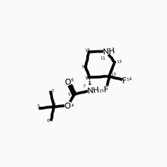 CC(C)(C)OC(=O)N[C@@H]1CCNCC1(F)F